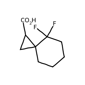 O=C(O)C1CC12CCCCC2(F)F